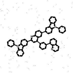 c1ccc(-n2c3ccccc3c3cc(-c4ccc5nc(-c6ccc7c(c6)c6ccccc6n7-c6ccccc6)cc(-c6cccc(-c7cccc8cccnc78)c6)c5c4)ccc32)cc1